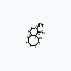 CC(C)N1CCC2CCCCCCC2C1=S